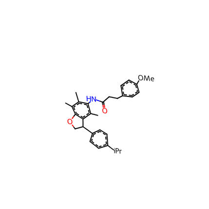 COc1ccc(CCC(=O)Nc2c(C)c(C)c3c(c2C)C(c2ccc(C(C)C)cc2)CO3)cc1